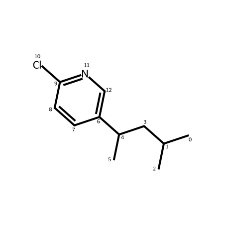 CC(C)CC(C)c1ccc(Cl)nc1